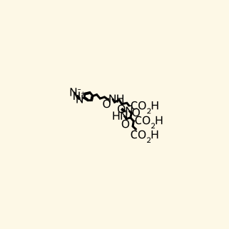 [N-]=[N+]=Nc1ccc(CCCC(=O)NCCCC[C@@H](C(=O)O)N2C(=O)NC(=O)C([C@H](CCC(=O)O)C(=O)O)C2=O)cc1